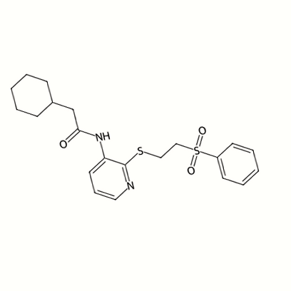 O=C(CC1CCCCC1)Nc1cccnc1SCCS(=O)(=O)c1ccccc1